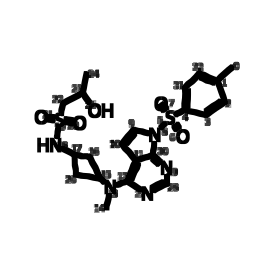 Cc1ccc(S(=O)(=O)n2ccc3c(N(C)C4CC(NS(=O)(=O)CC(C)O)C4)ncnc32)cc1